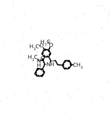 CNC(=O)[C@H](N[C@H](CCc1ccc(C)cc1)c1ccc(OC)c(OC)c1)c1ccccc1